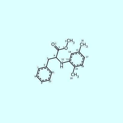 COC(=O)C(Cc1ccccc1)Nc1cc(C)ccc1C